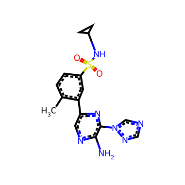 Cc1ccc(S(=O)(=O)NC2CC2)cc1-c1cnc(N)c(-n2cncn2)n1